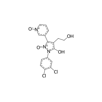 [O-][n+]1cccc(-c2c(CCO)c(O)n(-c3ccc(Cl)c(Cl)c3)[n+]2[O-])c1